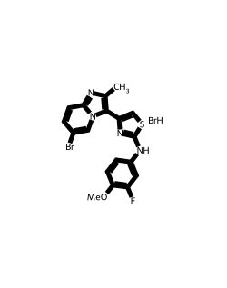 Br.COc1ccc(Nc2nc(-c3c(C)nc4ccc(Br)cn34)cs2)cc1F